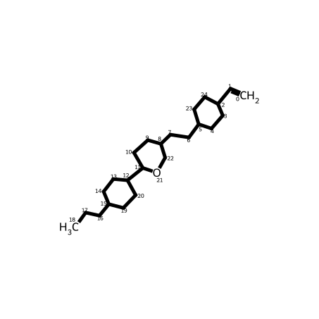 C=CC1CCC(CCC2CCC(C3CCC(CCC)CC3)OC2)CC1